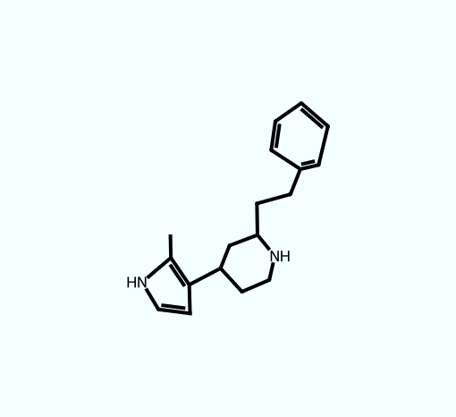 Cc1[nH]ccc1C1CCNC(CCc2ccccc2)C1